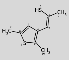 C/C(S)=C/c1cc(C)sc1C